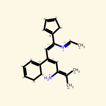 C/C=N/C(=C\C(=C\C(N)=C(C)C)C1=CC=CCC1)C1=CC=CC1